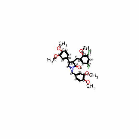 COc1ccc(CN2CC(c3ccc(OC)c(OC)c3)C(Cc3cc(F)cc(F)c3OC)C2=O)cc1OC